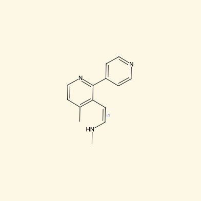 CN/C=C\c1c(C)ccnc1-c1ccncc1